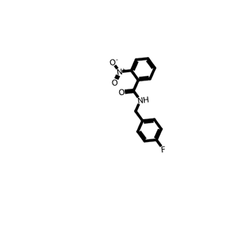 O=C(NCc1ccc(F)cc1)c1ccccc1[N+](=O)[O-]